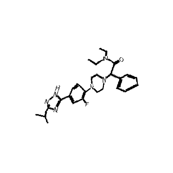 CCN(CC)C(=O)C(c1ccccc1)N1CCN(c2ccc(-c3nc(C(C)C)n[nH]3)cc2F)CC1